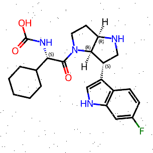 O=C(O)N[C@H](C(=O)N1CC[C@H]2NC[C@H](c3c[nH]c4cc(F)ccc34)[C@H]21)C1CCCCC1